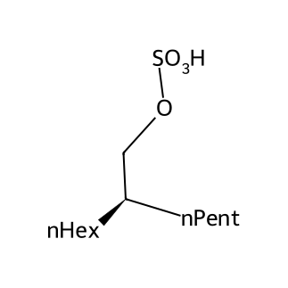 CCCCCC[C@H](CCCCC)COS(=O)(=O)O